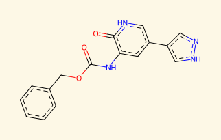 O=C(Nc1cc(-c2cn[nH]c2)c[nH]c1=O)OCc1ccccc1